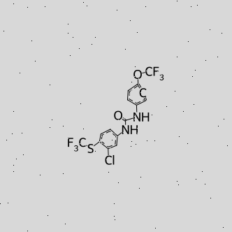 O=C(Nc1ccc(OC(F)(F)F)cc1)Nc1ccc(SC(F)(F)F)c(Cl)c1